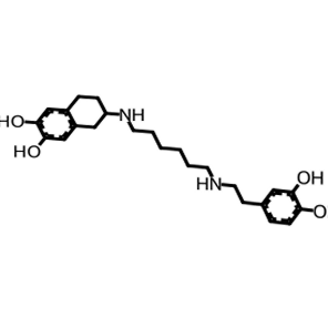 Oc1ccc(CCNCCCCCCNC2CCc3cc(O)c(O)cc3C2)cc1O